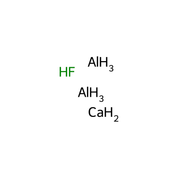 F.[AlH3].[AlH3].[CaH2]